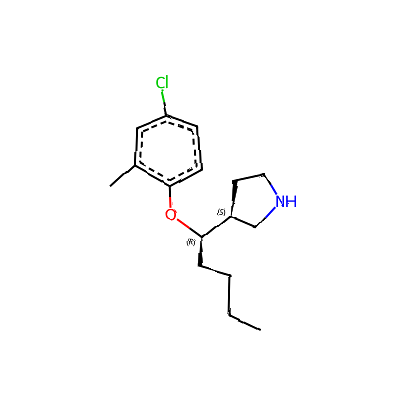 CCCC[C@@H](Oc1ccc(Cl)cc1C)[C@H]1CCNC1